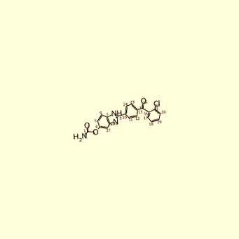 NC(=O)Oc1ccc2[nH]c(-c3ccc(C(=O)c4ccccc4Cl)cc3)nc2c1